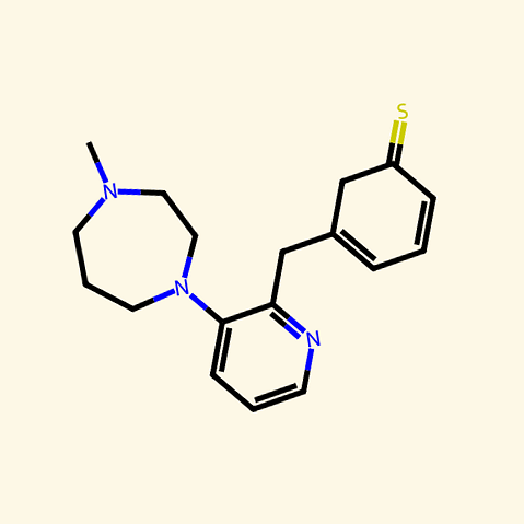 CN1CCCN(c2cccnc2CC2=CC=CC(=S)C2)CC1